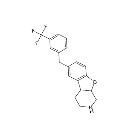 FC(F)(F)c1cccc(Cc2ccc3c(c2)C2CCNCC2O3)c1